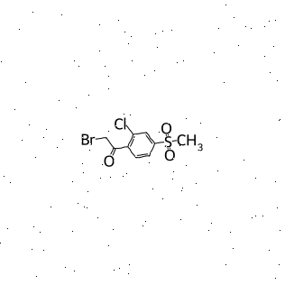 CS(=O)(=O)c1ccc(C(=O)CBr)c(Cl)c1